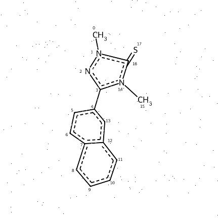 Cn1nc(-c2ccc3ccccc3c2)n(C)c1=S